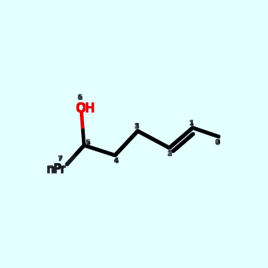 CC=CCCC(O)CCC